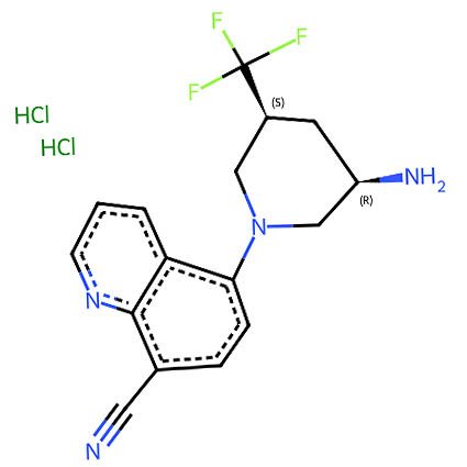 Cl.Cl.N#Cc1ccc(N2C[C@H](N)C[C@H](C(F)(F)F)C2)c2cccnc12